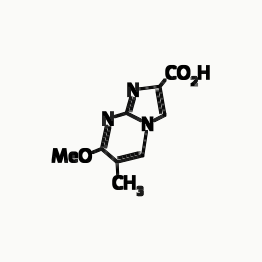 COc1nc2nc(C(=O)O)cn2cc1C